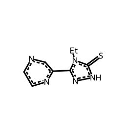 CCn1c(-c2cnccn2)n[nH]c1=S